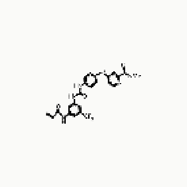 C=CC(=O)Nc1cc(NC(=O)Nc2ccc(Oc3ccnc(C(=O)NC)c3)cc2)cc(C(F)(F)F)c1